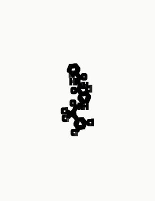 O=C(NNC(=O)c1cc(NC(=O)C2C(c3cc(Cl)cc(Cl)c3)C2(Cl)Cl)ccc1Cl)c1ccccn1